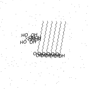 CCCCCCCCCCCCCCCCCCC(=O)O.CCCCCCCCCCCCCCCCCCC(=O)O.CCCCCCCCCCCCCCCCCCC(=O)O.CCCCCCCCCCCCCCCCCCC(=O)O.CCCCCCCCCCCCCCCCCCC(=O)O.CCCCCCCCCCCCCCCCCCC(=O)O.OCC(CO)(CO)CO.OCC(CO)(CO)CO